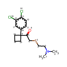 CN(C)CCSCC(=O)C1(c2ccc(Cl)c(Cl)c2)CCC1